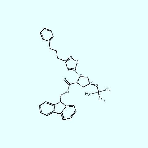 CC(C)(C)O[C@@H]1C[C@@H](c2nc(CCCc3ccccc3)no2)N(C(=O)OCC2c3ccccc3-c3ccccc32)C1